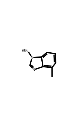 CCCCn1cnc2c(C)cccc21